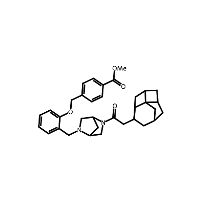 COC(=O)c1ccc(COc2ccccc2CN2CC3CC2CN3C(=O)CC23CC4CC5CC(C2)C5(C4)C3)cc1